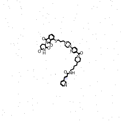 O=C(/C=C/c1cccnc1)NCCCCC1CCN(C(=O)c2ccc(N3CCN(CCCSc4cccc5c4C(=O)N(C4CCC(=O)NC4=O)C5=O)CC3)nc2)CC1